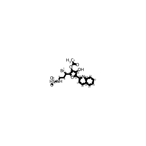 CC(=O)Oc1c(C(Br)CCN[SH](=O)=O)oc(-c2ccc3ccccc3n2)c1O